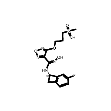 CS(=N)(=O)CCCOc1nonc1C(=NO)N[C@H]1Cc2ccc(F)cc21